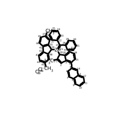 CC1=Cc2c(-c3ccc4ccccc4c3)cccc2[CH]1[Zr+2](=[C](c1ccccc1)c1ccccc1)[CH]1c2cc(C)ccc2-c2ccc(C)cc21.[Cl-].[Cl-]